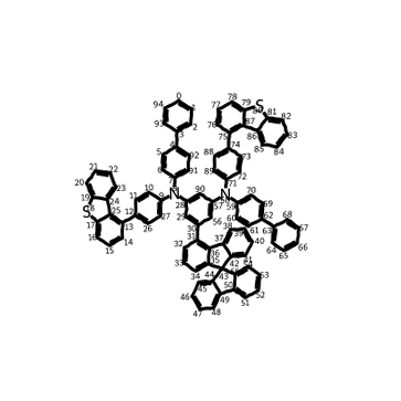 c1ccc(-c2ccc(N(c3ccc(-c4cccc5sc6ccccc6c45)cc3)c3cc(-c4cccc5c4-c4ccccc4C54c5ccccc5-c5ccccc54)cc(N(c4ccc(-c5ccccc5)cc4)c4ccc(-c5cccc6sc7ccccc7c56)cc4)c3)cc2)cc1